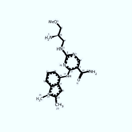 COC[C@H](N)CNc1ncc(C(N)=O)c(Nc2cccc3c2cc(C)n3C)n1